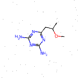 COC(C)Cc1nc(N)nc(N)n1